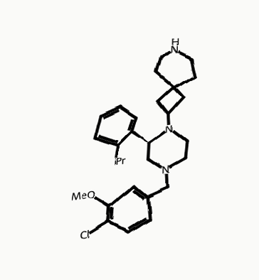 COc1cc(CN2CCN(C3CC4(CCNCC4)C3)[C@H](c3ccccc3C(C)C)C2)ccc1Cl